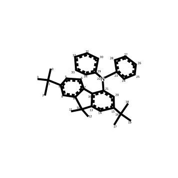 CC(C)(C)c1ccc2c(c1)C(C)(C)c1cc(C(C)(C)C)cc(N(c3ccccc3)c3ccccc3)c1-2